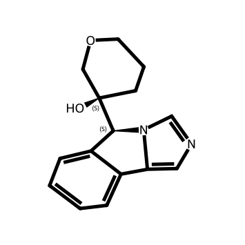 O[C@]1([C@@H]2c3ccccc3-c3cncn32)CCCOC1